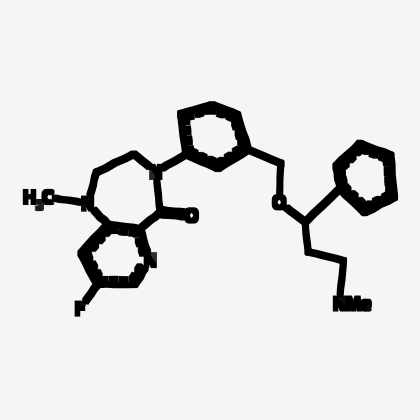 CNCCC(OCc1cccc(N2CCN(C)c3cc(F)cnc3C2=O)c1)c1ccccc1